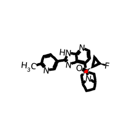 Cc1ccc(-c2nc3c(N4CC5CCC(C4)N5C(=O)[C@@H]4C[C@H]4F)ccnc3[nH]2)cn1